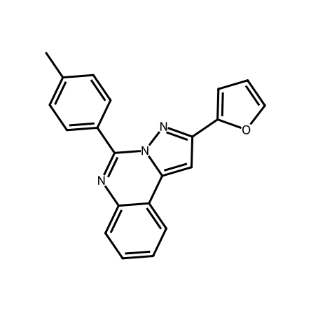 Cc1ccc(-c2nc3ccccc3c3cc(-c4ccco4)nn23)cc1